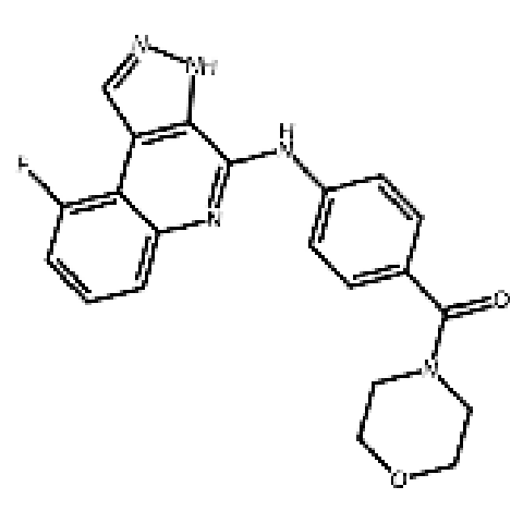 O=C(c1ccc(Nc2nc3cccc(F)c3c3cn[nH]c23)cc1)N1CCOCC1